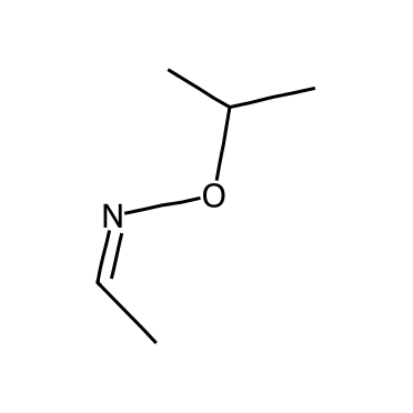 C/C=N\OC(C)C